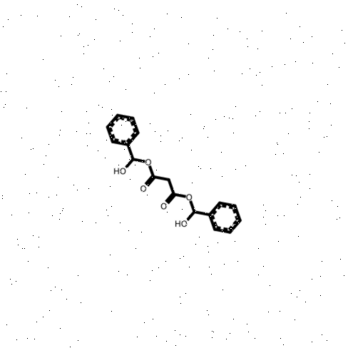 O=C(CC(=O)OC(O)c1ccccc1)OC(O)c1ccccc1